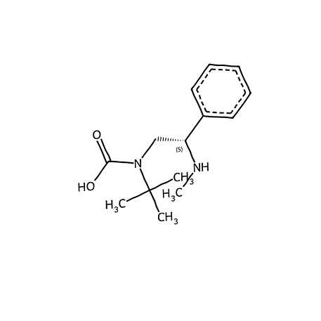 CN[C@H](CN(C(=O)O)C(C)(C)C)c1ccccc1